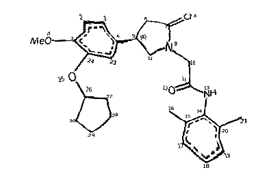 COc1ccc([C@H]2CC(=O)N(CC(=O)Nc3c(C)cccc3C)C2)cc1OC1CCCC1